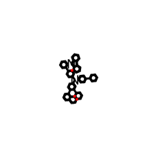 c1ccc(-c2ccc(N(c3ccc(-c4ccccc4-n4c5ccccc5c5ccccc54)cc3)c3ccc(-c4cccc5ccccc45)c(-c4ccccc4)c3)cc2)cc1